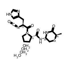 C[C@H]1SC[C@H](NC(=O)[C@@H]2CCCN2C(=O)[C@H](Cc2c[nH]cn2)N=C=O)NC1=O.O.O.O.O